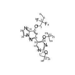 CCC(F)(F)COc1cc(-c2cnc(OC(C)(C)C)nc2OC(C)(C)C)nn2ccnc12